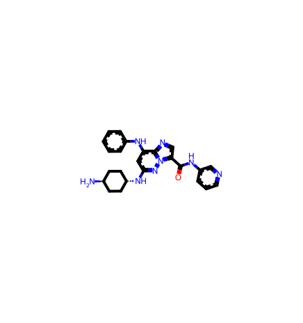 N[C@H]1CC[C@H](Nc2cc(Nc3ccccc3)c3ncc(C(=O)Nc4cccnc4)n3n2)CC1